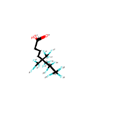 O=C(O)CCCC(C(F)(F)F)(C(F)(F)F)C(F)(F)C(F)(F)C(F)(F)F